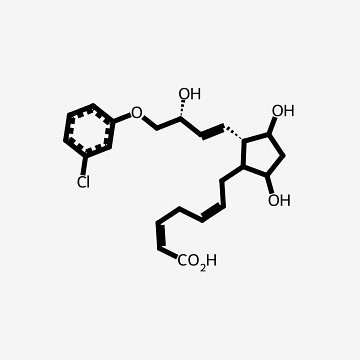 O=C(O)/C=C\C/C=C\CC1C(O)CC(O)[C@H]1C=C[C@@H](O)COc1cccc(Cl)c1